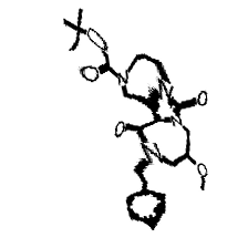 COC1CN(Cc2ccccc2)C(=O)c2c3n(c(=O)n2C1)CCN(C(=O)OC(C)(C)C)C3